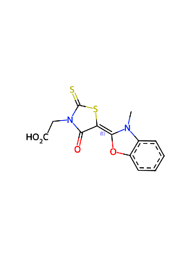 CN1/C(=C2\SC(=S)N(CC(=O)O)C2=O)Oc2ccccc21